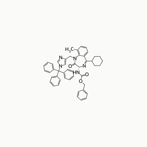 Cc1cccc2c1N(Cc1cn(C(c3ccccc3)(c3ccccc3)c3ccccc3)cn1)C(=O)[C@@H](NC(=O)OCc1ccccc1)N=C2C1CCCCC1